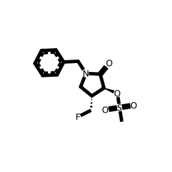 CS(=O)(=O)O[C@@H]1C(=O)N(Cc2ccccc2)C[C@H]1CF